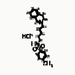 Cc1ccc(S(=O)(=O)NCCCCCN2CCc3ccccc3C2)cc1.Cl